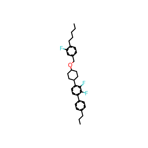 CCCCCc1ccc(COC2CCC(c3ccc(-c4ccc(CCC)cc4)c(F)c3F)CC2)cc1F